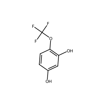 Oc1ccc(OC(F)(F)F)c(O)c1